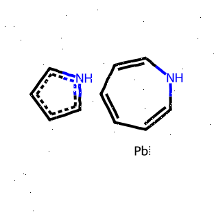 C1=CC=CNC=C1.[Pb].c1cc[nH]c1